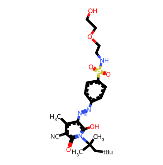 Cc1c(/N=N/c2ccc(S(=O)(=O)NCCOCCO)cc2)c(O)n(C(C)(C)CC(C)(C)C)c(=O)c1C#N